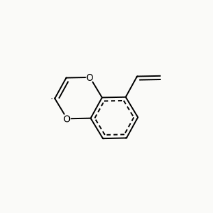 C=Cc1cccc2c1OC=[C]O2